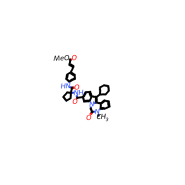 COC(=O)/C=C/c1ccc(NC(=O)C2(NC(=O)c3ccc4c(C5CCCCC5)c5n(c4c3)CC(=O)N(C)c3ccccc3-5)CCCC2)cc1